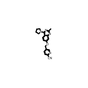 Cc1nc(N2CCCC2)c2ccc(OCc3ccc(C#N)nc3)cc2n1